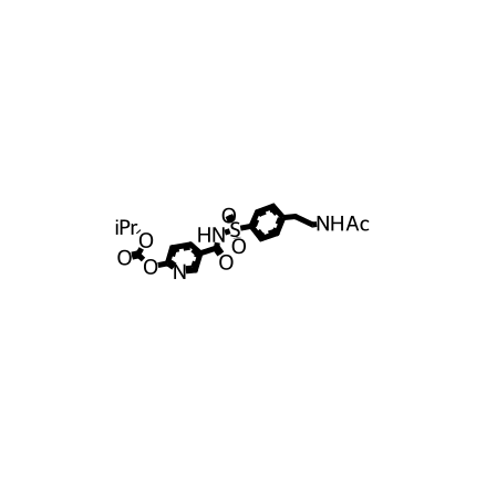 CC(=O)NCCc1ccc(S(=O)(=O)NC(=O)c2ccc(OC(=O)OC(C)C)nc2)cc1